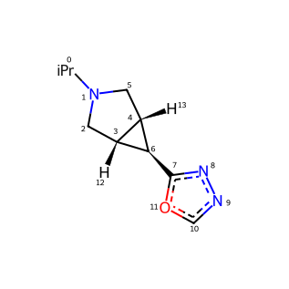 CC(C)N1C[C@@H]2[C@H](C1)[C@H]2c1nnco1